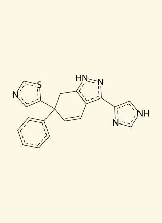 C1=CC(c2ccccc2)(c2cncs2)Cc2[nH]nc(-c3c[nH]cn3)c21